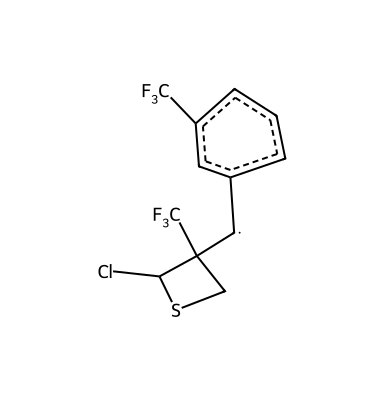 FC(F)(F)c1cccc([CH]C2(C(F)(F)F)CSC2Cl)c1